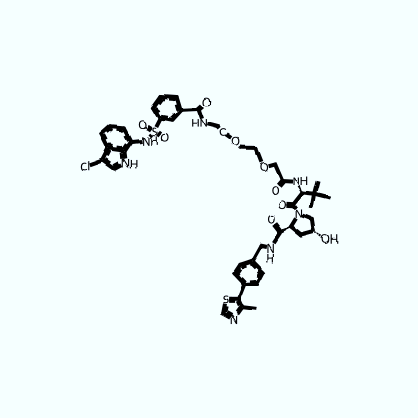 Cc1ncsc1-c1ccc(CNC(=O)[C@@H]2C[C@@H](O)CN2C(=O)[C@@H](NC(=O)COCCOCCNC(=O)c2cccc(S(=O)(=O)Nc3cccc4c(Cl)c[nH]c34)c2)C(C)(C)C)cc1